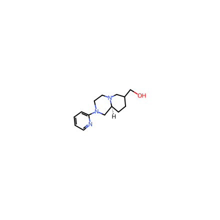 OCC1CC[C@H]2CN(c3ccccn3)CCN2C1